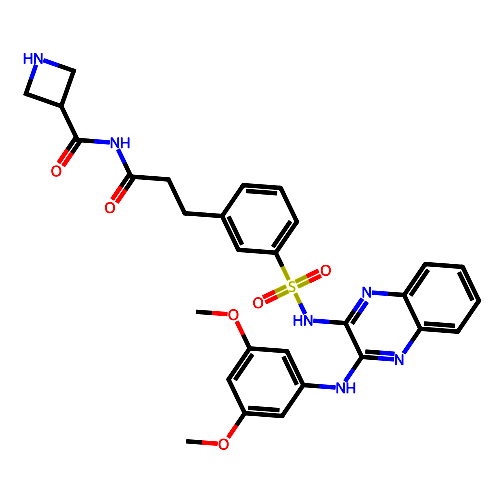 COc1cc(Nc2nc3ccccc3nc2NS(=O)(=O)c2cccc(CCC(=O)NC(=O)C3CNC3)c2)cc(OC)c1